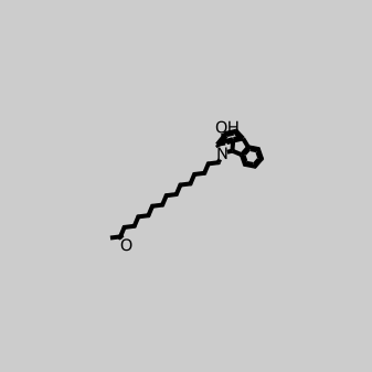 CC(=O)CCCCCCCCCCCCCCN1c2ccc3c(c2O)C1c1ccccc1-3